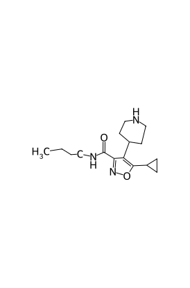 CCCCNC(=O)c1noc(C2CC2)c1C1CCNCC1